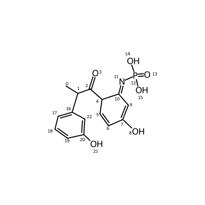 CC(C(=O)C1C=CC(O)=C/C1=N\P(=O)(O)O)c1cccc(O)c1